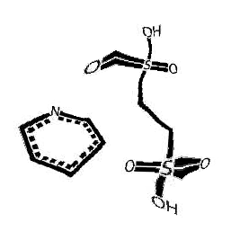 O=S(=O)(O)CCS(=O)(=O)O.c1ccncc1